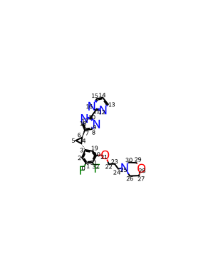 Fc1cc([C@@H]2C[C@H]2c2cnc(-c3ncccn3)nc2)cc(OCCCN2CCOCC2)c1F